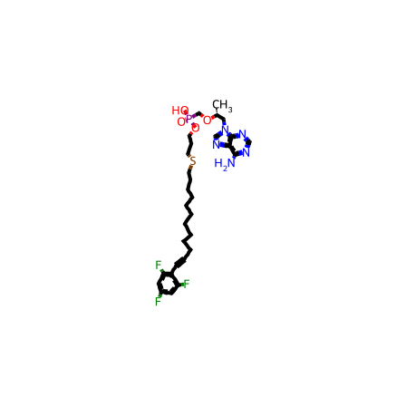 C[C@H](Cn1cnc2c(N)ncnc21)OCP(=O)(O)OCCCSCCCCCCCCCCC#Cc1c(F)cc(F)cc1F